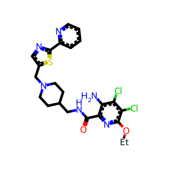 CCOc1nc(C(=O)NCC2CCN(Cc3cnc(-c4ccccn4)s3)CC2)c(N)c(Cl)c1Cl